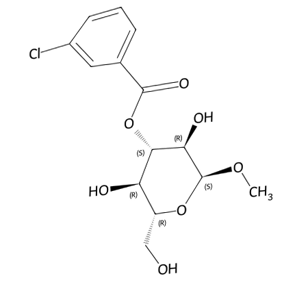 CO[C@H]1O[C@H](CO)[C@@H](O)[C@H](OC(=O)c2cccc(Cl)c2)[C@H]1O